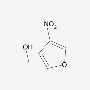 CO.O=[N+]([O-])c1ccoc1